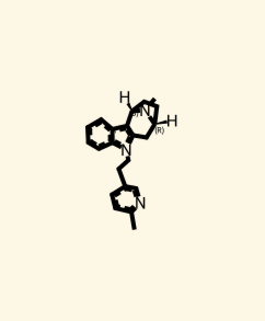 Cc1ccc(CCn2c3c(c4ccccc42)[C@@H]2CC[C@H](C3)N2C)cn1